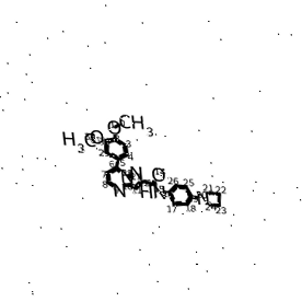 COc1ccc(-c2ccnc3cc(C(=O)Nc4ccc(N5CCCC5)cc4)nn23)cc1OC